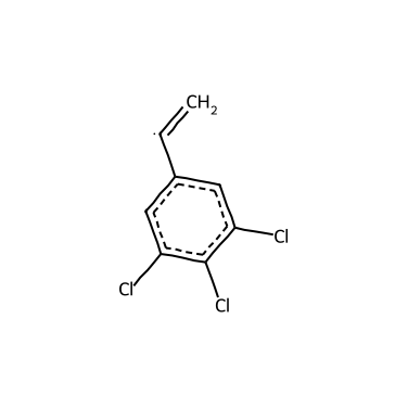 C=[C]c1cc(Cl)c(Cl)c(Cl)c1